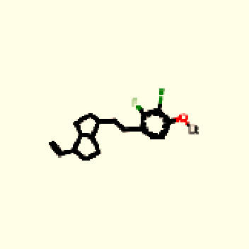 C=CC1CCC2C(CCc3ccc(OCC)c(F)c3F)CCC12